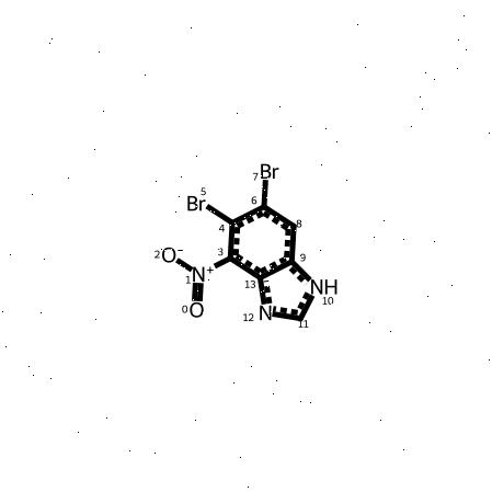 O=[N+]([O-])c1c(Br)c(Br)cc2[nH]cnc12